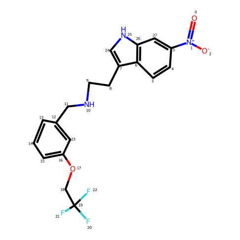 O=[N+]([O-])c1ccc2c(CCNCc3cccc(OCC(F)(F)F)c3)c[nH]c2c1